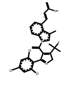 C=C(O)/C=C/c1cccc2c1c(C)cn2C(=C)C1=C(C(C)(C)F)CN=C1c1c(Cl)cc(Cl)cc1Cl